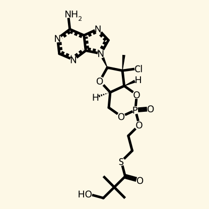 CC(C)(CO)C(=O)SCCOP1(=O)OC[C@H]2O[C@@H](n3cnc4c(N)ncnc43)[C@](C)(Cl)[C@@H]2O1